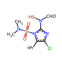 CCCc1c(Cl)nc(N(S)C=O)n1S(=O)(=O)N(C)C